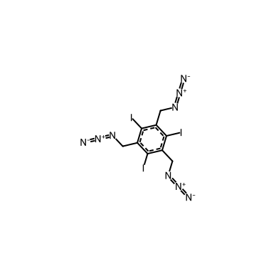 [N-]=[N+]=NCc1c(I)c(CN=[N+]=[N-])c(I)c(CN=[N+]=[N-])c1I